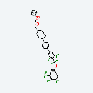 CCOCOCC1CCC(c2ccc(-c3cc(F)c(C(F)(F)Oc4cc(F)c(F)c(F)c4)c(F)c3)cc2)CC1